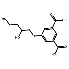 O=C(O)c1cc(OCC(O)CCO)cc(C(=O)O)c1